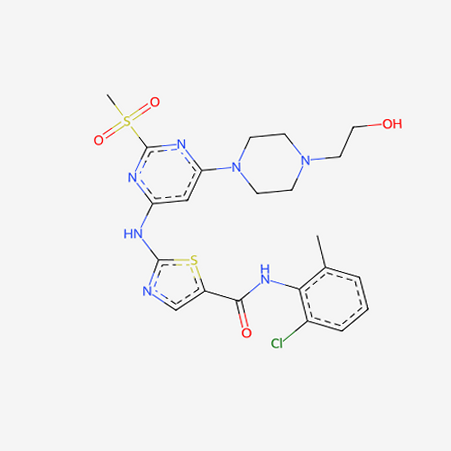 Cc1cccc(Cl)c1NC(=O)c1cnc(Nc2cc(N3CCN(CCO)CC3)nc(S(C)(=O)=O)n2)s1